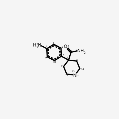 NC(=O)C1(c2ccc(N)cc2)CCNCC1